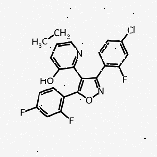 CC.Oc1cccnc1-c1c(-c2ccc(Cl)cc2F)noc1-c1ccc(F)cc1F